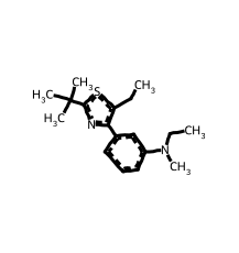 CCc1sc(C(C)(C)C)nc1-c1cccc(N(C)CC)c1